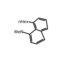 CCCCCCc1cccc2cccc(NC)c12